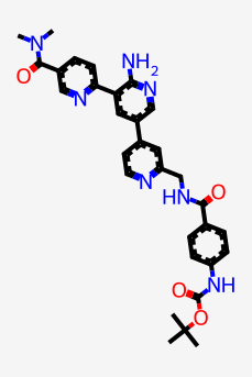 CN(C)C(=O)c1ccc(-c2cc(-c3ccnc(CNC(=O)c4ccc(NC(=O)OC(C)(C)C)cc4)c3)cnc2N)nc1